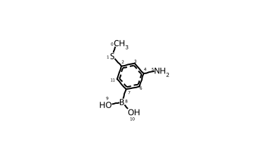 CSc1cc(N)cc(B(O)O)c1